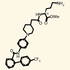 COC(=O)[C@H](CCCN)NC(=O)CC1CCN(c2ccc(NC(=O)c3ccccc3-c3ccc(C(F)(F)F)cc3)cc2)CC1